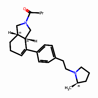 CC(C)C(=O)N1C[C@H]2CCC=C(c3ccc(CCN4CCC[C@H]4C)cc3)[C@H]2C1